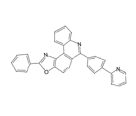 c1ccc(-c2nc3c(ccc4c(-c5ccc(-c6ccccn6)cc5)nc5ccccc5c43)o2)cc1